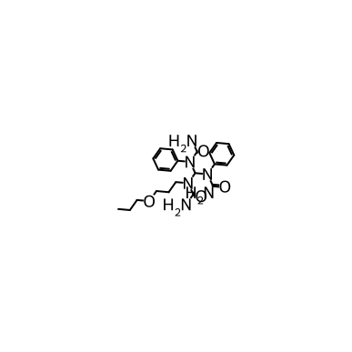 CCCOCCCN(C(N)=O)C(N(C(N)=O)c1ccccc1)N(C(N)=O)c1ccccc1